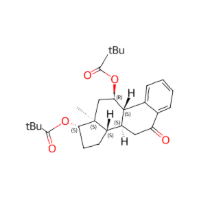 CC(C)(C)C(=O)O[C@H]1CC[C@H]2[C@@H]3CC(=O)c4ccccc4[C@H]3[C@H](OC(=O)C(C)(C)C)C[C@]12C